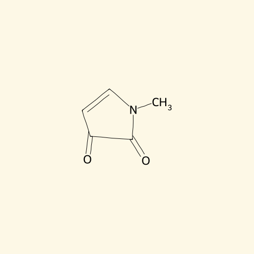 CN1C=CC(=O)C1=O